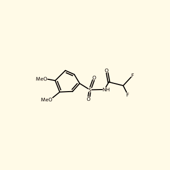 COc1ccc(S(=O)(=O)NC(=O)C(F)F)cc1OC